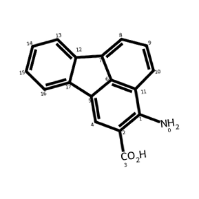 Nc1c(C(=O)O)cc2c3c(cccc13)-c1ccccc1-2